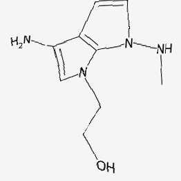 CNn1ccc2c(N)cn(CCO)c21